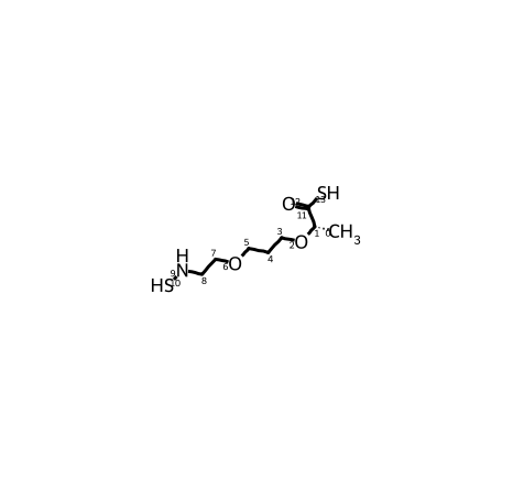 C[C@H](OCCCOCCNS)C(=O)S